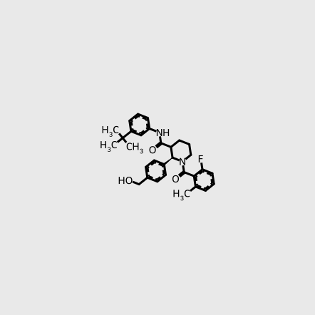 Cc1cccc(F)c1C(=O)N1CCCC(C(=O)Nc2cccc(C(C)(C)C)c2)[C@@H]1c1ccc(CO)cc1